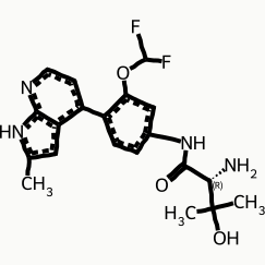 Cc1cc2c(-c3ccc(NC(=O)[C@H](N)C(C)(C)O)cc3OC(F)F)ccnc2[nH]1